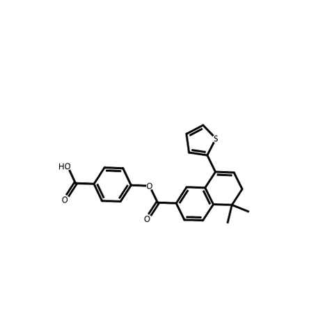 CC1(C)CC=C(c2cccs2)c2cc(C(=O)Oc3ccc(C(=O)O)cc3)ccc21